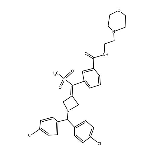 CS(=O)(=O)C(=C1CN(C(c2ccc(Cl)cc2)c2ccc(Cl)cc2)C1)c1cccc(C(=O)NCCN2CCOCC2)c1